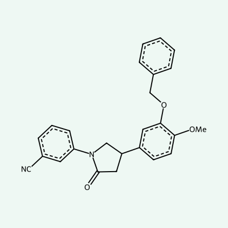 COc1ccc(C2CC(=O)N(c3cccc(C#N)c3)C2)cc1OCc1ccccc1